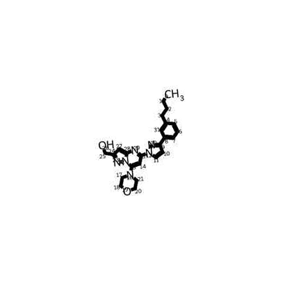 CCCCc1cccc(-c2ccn(-c3cc(N4CCOCC4)n4nc(CO)cc4n3)n2)c1